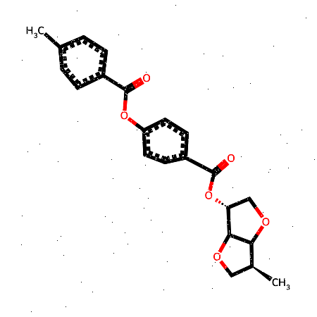 Cc1ccc(C(=O)Oc2ccc(C(=O)O[C@@H]3COC4C3OC[C@@H]4C)cc2)cc1